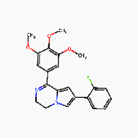 COc1cc(C2=NCCn3cc(-c4ccccc4F)cc32)cc(OC)c1OC